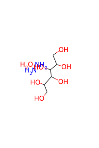 NN.O.OCC(O)C(O)C(O)C(O)CO